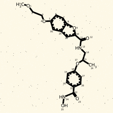 COCCOc1ccc2oc(C(=O)NCC(C)Oc3ccc(C(=O)NO)cc3)cc2c1